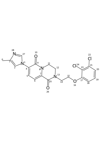 Cc1cn(-c2ccc3n(c2=O)CCN(CCOc2cccc(Cl)c2Cl)C3=O)cn1